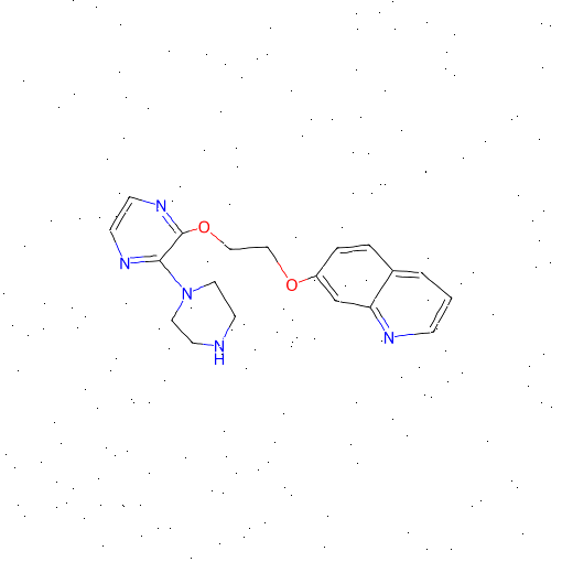 c1cnc2cc(OCCOc3nccnc3N3CCNCC3)ccc2c1